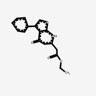 CCOC(=O)Cc1cc(=O)c2c(-c3ccccc3)csc2[nH]1